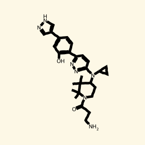 CC1(C)C(N(c2ccc(-c3ccc(-c4cn[nH]c4)cc3O)nn2)C2CC2)CCN(C(=O)CCN)C1(C)C